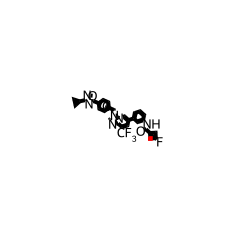 O=C(Nc1cccc(C2=CN3C(=NCN3CC34CCC(c5nc(C6CC6)no5)(CC3)CC4)C(C(F)(F)F)=C2)c1)C12CC(F)(C1)C2